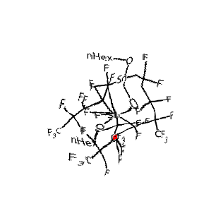 CCCCCC[O][Sn]([O][Sn]([O]CCCCCC)([C](F)(F)C(F)(F)C(F)(F)C(F)(F)F)[C](F)(F)C(F)(F)C(F)(F)C(F)(F)F)([C](F)(F)C(F)(F)C(F)(F)C(F)(F)F)[C](F)(F)C(F)(F)C(F)(F)C(F)(F)F